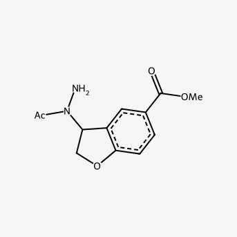 COC(=O)c1ccc2c(c1)C(N(N)C(C)=O)CO2